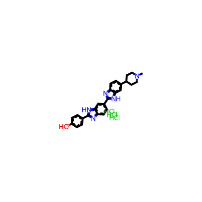 CN1CCC(c2ccc3nc(-c4ccc5nc(-c6ccc(O)cc6)[nH]c5c4)[nH]c3c2)CC1.Cl.Cl.Cl